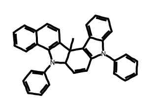 CC12c3ccc4ccccc4c3N(c3ccccc3)C1C=Cc1c2c2ccccc2n1-c1ccccc1